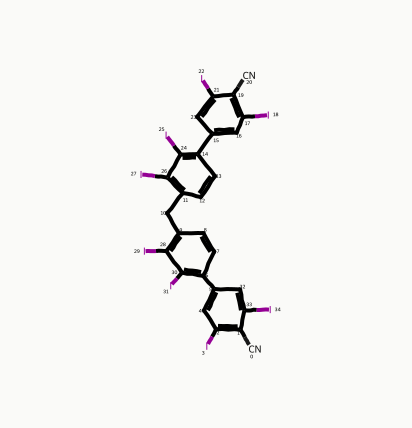 N#Cc1c(I)cc(-c2ccc(Cc3ccc(-c4cc(I)c(C#N)c(I)c4)c(I)c3I)c(I)c2I)cc1I